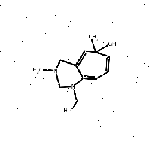 CCN1CN(C)CC2=CC(C)(O)C=CC=C21